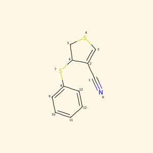 N#CC1=CSCC1Sc1ccccc1